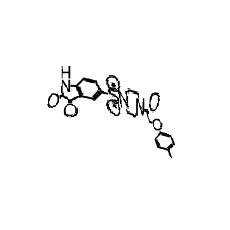 Cc1ccc(OCC(=O)N2CCN(S(=O)(=O)c3ccc4c(c3)C(=O)C(=O)N4)CC2)cc1